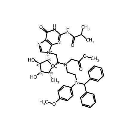 COC(=O)CN(CCN(c1ccc(OC)cc1)C(c1ccccc1)c1ccccc1)C(=O)C[N+]1([C@@H]2O[C@H](C)[C@@H](O)[C@H]2O)C=Nc2c1nc(NC(=O)C(C)C)[nH]c2=O